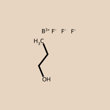 CCCO.[B+3].[F-].[F-].[F-]